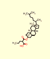 CCCC(C(=O)O)C(=O)O[C@H]1CC[C@@]2(C)C(=CC[C@H]3[C@@H]4CC[C@H]([C@H](C)CCCC(C)C)[C@@]4(C)CC[C@@H]32)C1